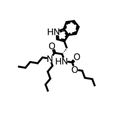 CCCCCN(CCCCC)C(=O)[C@H](Cc1c[nH]c2ccccc12)NC(=O)OCCCC